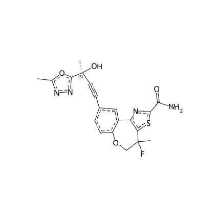 Cc1nnc([C@@](C)(O)C#Cc2ccc3c(c2)-c2nc(C(N)=O)sc2C(C)(F)CO3)o1